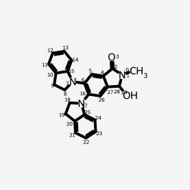 CN1C(=O)c2cc(N3CCc4ccccc43)c(N3CCc4ccccc43)cc2C1O